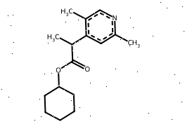 Cc1cc(C(C)C(=O)OC2CCCCC2)c(C)cn1